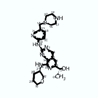 C[C@@H](O)c1cc2cnc(Nc3ccc(CN4CCNCC4)cn3)nc2c(N[C@@H]2CCCOC2)n1